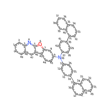 c1ccc2nc3oc4cc(N(c5ccc(-c6cccc7ccccc67)cc5)c5ccc(-c6cccc7ccccc67)cc5)ccc4c3cc2c1